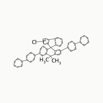 CC1(C)c2cc(-c3ccc(-c4ccccc4)cc3)ccc2C2(c3ccccc3-c3ccc(Cl)cc32)c2cc(-c3ccc(-c4ccccc4)cc3)ccc21